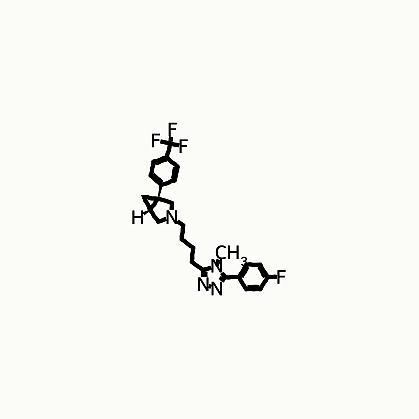 Cn1c(CCCCN2C[C@@H]3C[C@]3(c3ccc(C(F)(F)F)cc3)C2)nnc1-c1ccc(F)cc1